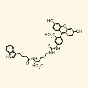 O=C(CCCc1c[nH]c2ccccc12)NC(CCCCNC(=S)Nc1ccc(C2=C3C=CC(O)C=C3Oc3cc(O)ccc32)c(C(=O)O)c1)C(=O)O